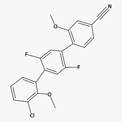 COc1cc(C#N)ccc1-c1cc(F)c(-c2cccc(Cl)c2OC)cc1F